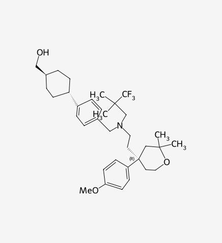 COc1ccc([C@]2(CCN(Cc3ccc([C@H]4CC[C@H](CO)CC4)cc3)CC(C)(C)C(F)(F)F)CCOC(C)(C)C2)cc1